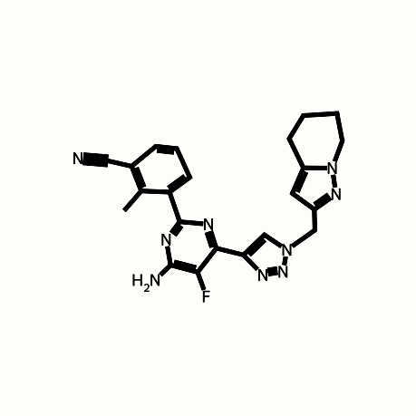 Cc1c(C#N)cccc1-c1nc(N)c(F)c(-c2cn(Cc3cc4n(n3)CCCC4)nn2)n1